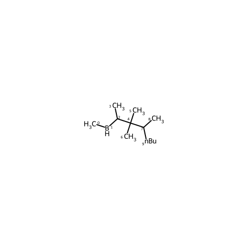 CBC(C)C(C)(C)C(C)CCCC